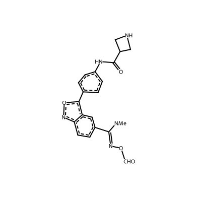 CN/C(=N\OC=O)c1ccc2noc(-c3ccc(NC(=O)C4CNC4)cc3)c2c1